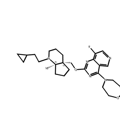 Fc1cncc2c(N3CCCOCC3)nc(OC[C@]34CCC[C@H]3N(CCC3CC3)CCC4)nc12